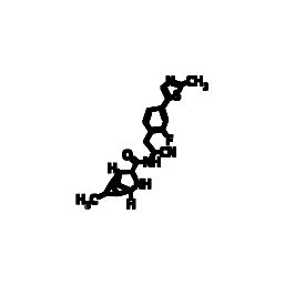 Cc1ncc(-c2ccc(C[C@@H](C#N)NC(=O)[C@H]3N[C@H]4C[C@@H]3C3C(C)C34)c(F)c2)s1